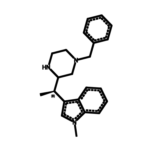 C[C@H](c1cn(C)c2ccccc12)C1CN(Cc2ccccc2)CCN1